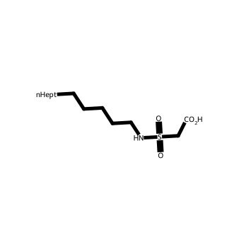 CCCCCCCCCCCCNS(=O)(=O)CC(=O)O